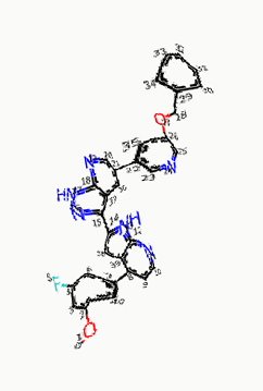 COc1cc(F)cc(-c2ccnc3[nH]c(-c4n[nH]c5ncc(-c6cncc(OCc7ccccc7)c6)cc45)cc23)c1